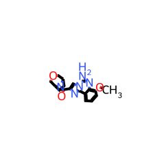 COc1cccc2c1nc(N)n1cc(C(=O)N3C4CCC3COC4)nc21